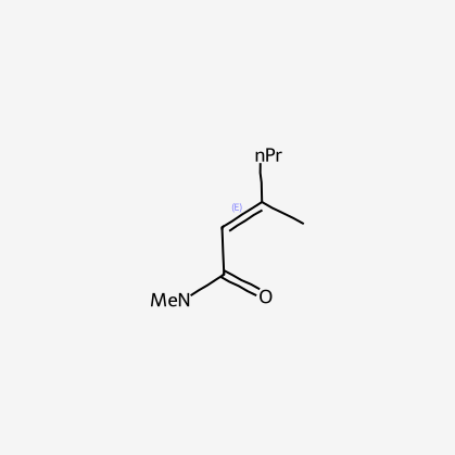 CCC/C(C)=C/C(=O)NC